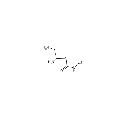 CCNC(=O)OC(N)CN